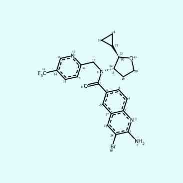 Nc1nc2ccc(C(=O)N(Cc3ccc(C(F)(F)F)cn3)[C@H]3CCO[C@@H]3C3CC3)cc2cc1Br